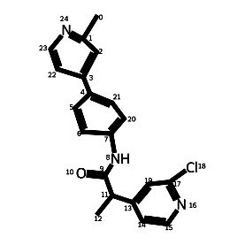 Cc1cc(-c2ccc(NC(=O)C(C)c3ccnc(Cl)c3)cc2)ccn1